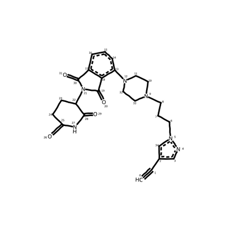 C#Cc1cnn(CCCN2CCN(c3cccc4c3C(=O)N(C3CCC(=O)NC3=O)C4=O)CC2)c1